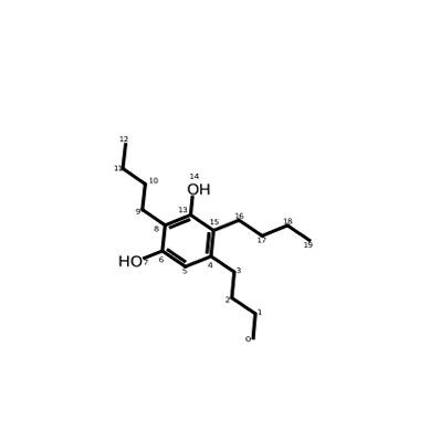 CCCCc1cc(O)c(CCCC)c(O)c1CCCC